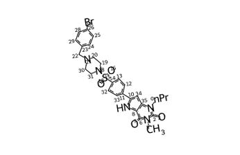 CCCn1c(=O)n(C)c(=O)c2[nH]c(-c3ccc(S(=O)(=O)N4CCN(Cc5ccc(Br)cc5)CC4)cc3)cc21